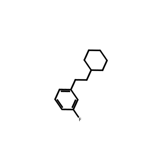 Fc1cccc(CCC2CCCCC2)c1